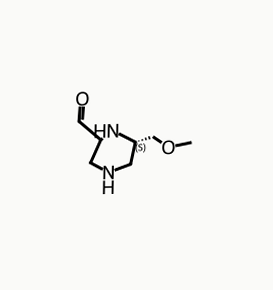 COC[C@@H]1CNCC(C=O)N1